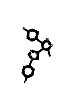 Cc1onc(-c2ccc(F)cc2)c1-c1cn(-c2ccc(F)cc2)cn1